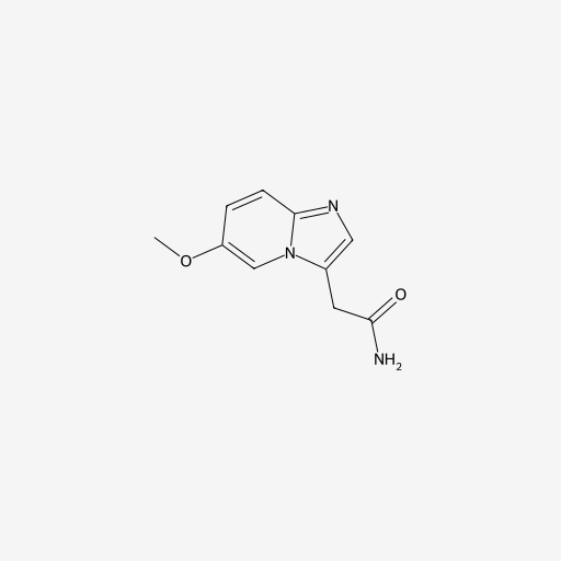 COc1ccc2ncc(CC(N)=O)n2c1